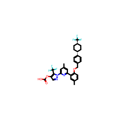 Cc1cc(-c2cc(C)ccc2OCc2ccc([C@H]3CC[C@H](C(F)(F)F)CC3)cc2)nc(-n2ncc(OC(=O)O)c2C(F)(F)F)c1